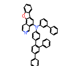 c1ccc(-c2cccc(N(c3ccc(-c4ccc(-c5ccccc5)cc4-c4ccccc4)cc3)c3cc4c5ccccc5oc4c4ccncc34)c2)cc1